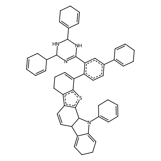 C1=CCCC(N2C3=CCCC=C3C3C=Cc4c(sc5c4CCC=C5c4ccc(C5=CCCC=C5)cc4C4=NC(C5C=CC=CC5)NC(C5=CCCC=C5)N4)C32)=C1